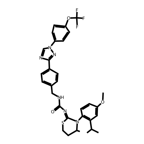 COc1ccc(N2/C(=N/C(=O)NCc3ccc(-c4ncn(-c5ccc(OC(F)(F)F)cc5)n4)cc3)SCCC2C)c(C(C)C)c1